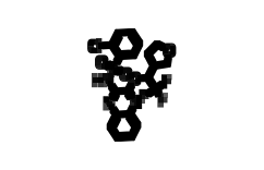 O=S(=O)(Nc1nc2ccccc2nc1OC(C1CCOC1)C(F)(F)F)c1ccccc1Cl